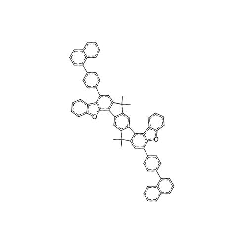 CC1(C)c2cc3c(cc2-c2c1cc(-c1ccc(-c4cccc5ccccc45)cc1)c1c2oc2ccccc21)C(C)(C)c1cc(-c2ccc(-c4cccc5ccccc45)cc2)c2oc4ccccc4c2c1-3